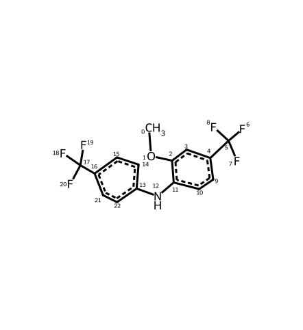 COc1cc(C(F)(F)F)ccc1Nc1ccc(C(F)(F)F)cc1